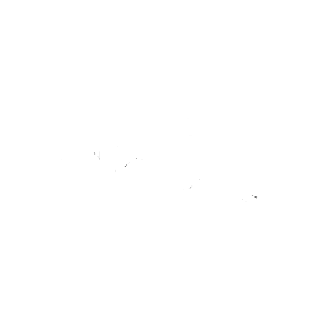 C[C@H]1CC[C@@]2(C)C(=CC(=O)C3C2CC[C@]2(C)C(n4ccc5ccccc54)=CCC32)C1